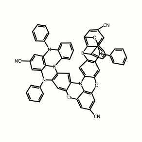 N#Cc1cc2c3c(c1)Oc1cc4c(cc1B3c1cc3c(cc1O2)N(c1ccccc1)c1cc(C#N)cc2c1B3c1ccccc1O2)B1c2ccccc2N(c2ccccc2)c2cc(C#N)cc(c21)N4c1ccccc1